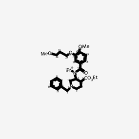 CCOC(=O)C1CCN(Cc2ccccc2)CC1N(C(=O)c1ccc(OC)c(OCCCOC)c1)C(C)C